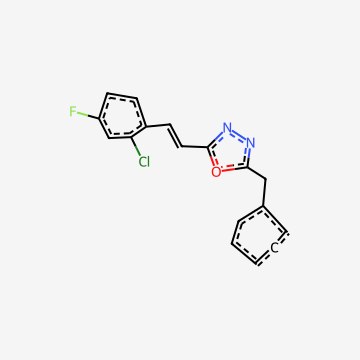 Fc1ccc(/C=C/c2nnc(Cc3ccccc3)o2)c(Cl)c1